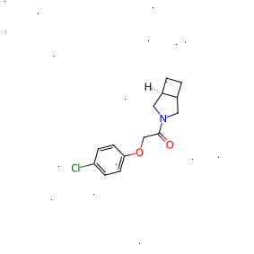 O=C(COc1ccc(Cl)cc1)N1CC2CC[C@@H]2C1